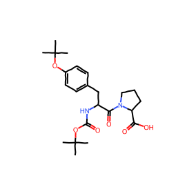 CC(C)(C)OC(=O)NC(Cc1ccc(OC(C)(C)C)cc1)C(=O)N1CCCC1C(=O)O